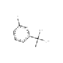 CCC(C)(O)c1cccc(Cl)n1